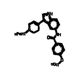 CCCCCCCCOc1ccc(C(=O)Nc2ccc3[nH]cc(C4=CCN(CCCCC)CC4)c3c2)cc1